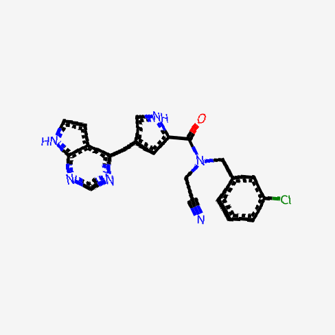 N#CCN(Cc1cccc(Cl)c1)C(=O)c1cc(-c2ncnc3[nH]ccc23)c[nH]1